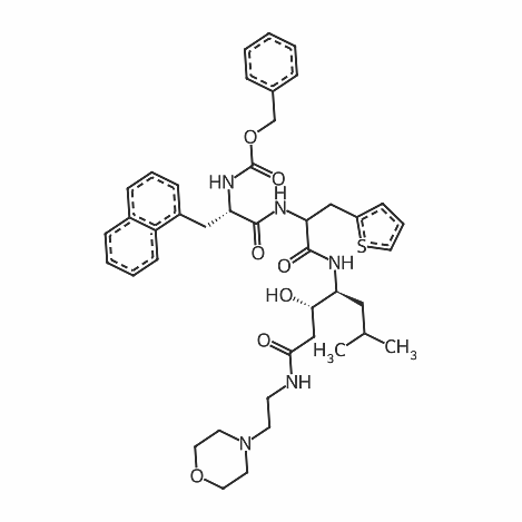 CC(C)C[C@H](NC(=O)C(Cc1cccs1)NC(=O)[C@H](Cc1cccc2ccccc12)NC(=O)OCc1ccccc1)[C@@H](O)CC(=O)NCCN1CCOCC1